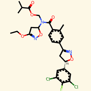 CCOC1=NOC(N(COC(=O)C(C)C)C(=O)c2ccc(C3=NO[C@H](c4cc(Cl)c(F)c(Cl)c4)C3)cc2C)C1